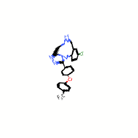 FC(F)(F)c1ccc(O[C@H]2CC[C@H](c3nnc4n3-c3ccc(Cl)cc3CNC4)CC2)cc1